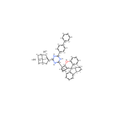 C1=CC2c3ccccc3C3(c4ccccc4Oc4c(-c5nc(-c6ccc(-c7ccccc7)cc6)nc(C67CC8C[C@H]9C[C@@H](C6)[C@@]89C7)n5)cccc43)C2C=C1